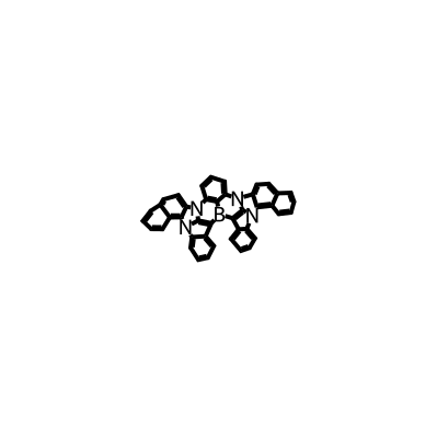 c1cc2c3c(c1)-n1c4ccc5ccccc5c4n4c5ccccc5c(c14)B3c1c3ccccc3n3c4c5ccccc5ccc4n-2c13